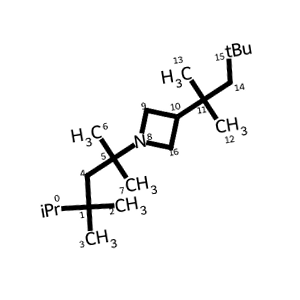 CC(C)C(C)(C)CC(C)(C)N1CC(C(C)(C)CC(C)(C)C)C1